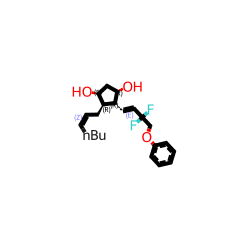 CCCC/C=C\C[C@@H]1[C@@H](/C=C/C(F)(F)COc2ccccc2)[C@H](O)C[C@@H]1O